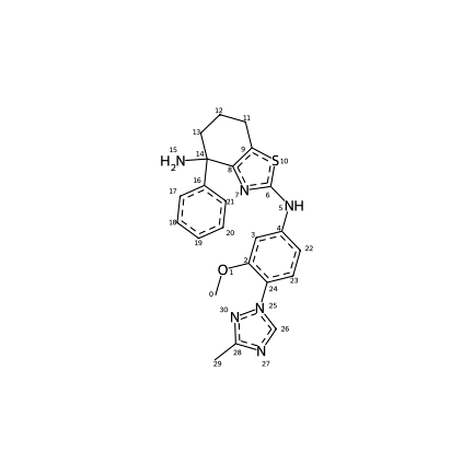 COc1cc(Nc2nc3c(s2)CCCC3(N)c2ccccc2)ccc1-n1cnc(C)n1